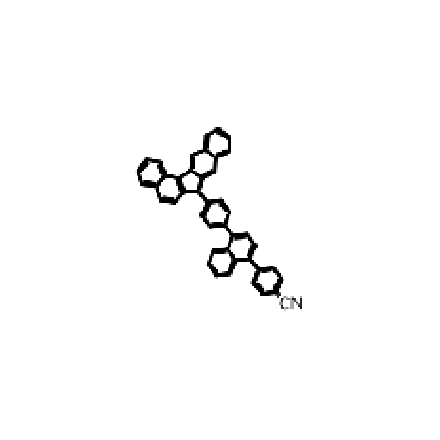 N#Cc1ccc(-c2ccc(-c3ccc(C4c5cc6ccccc6cc5-c5c4ccc4ccccc54)cc3)c3ccccc23)cc1